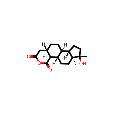 C[C@]12C(=O)OC(=O)C[C@@H]1CC[C@@H]1[C@@H]2CC[C@@]2(C)[C@H]1CC[C@]2(C)O